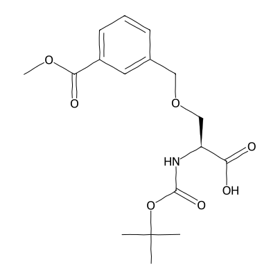 COC(=O)c1cccc(COC[C@H](NC(=O)OC(C)(C)C)C(=O)O)c1